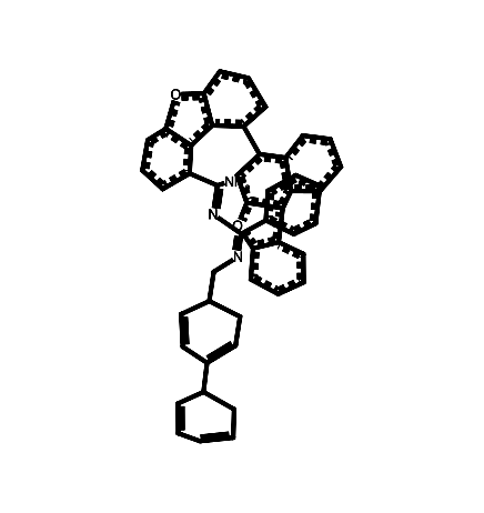 N/C(=N\C(=N/CC1C=CC(C2C=CC=CC2)=CC1)c1ccccc1)c1cccc2oc3cccc(-c4cc5oc6ccccc6c5c5ccccc45)c3c12